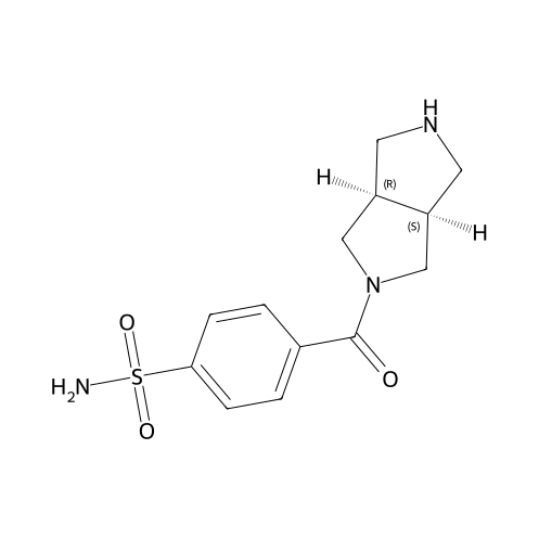 NS(=O)(=O)c1ccc(C(=O)N2C[C@H]3CNC[C@H]3C2)cc1